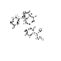 NC(=O)c1ccnc(-c2ccc3cnn(-c4ccncn4)c3c2)c1